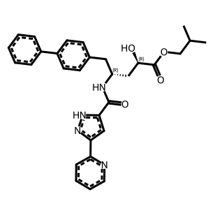 CC(C)COC(=O)[C@H](O)C[C@@H](Cc1ccc(-c2ccccc2)cc1)NC(=O)c1cc(-c2ccccn2)n[nH]1